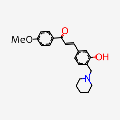 COc1ccc(C(=O)C=Cc2ccc(CN3CCCCC3)c(O)c2)cc1